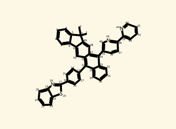 CC1(C)c2ccccc2-c2cc3c(-c4ccc(-c5nc6ccccc6s5)cc4)c4ccccc4c(-c4ccc(-c5ccccn5)nc4)c3cc21